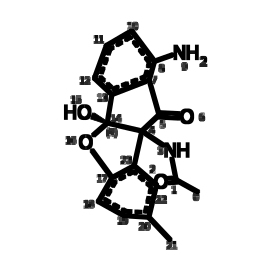 CC(=O)NC12C(=O)c3c(N)cccc3[C@@]1(O)Oc1ccc(C)cc12